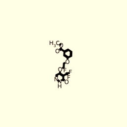 COC(=O)c1cccc(OCCOc2cn[nH]c(=O)c2C(F)(F)F)c1